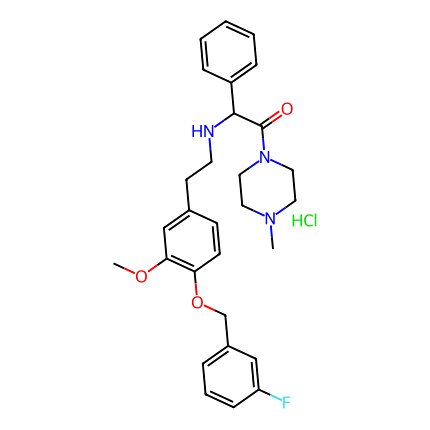 COc1cc(CCNC(C(=O)N2CCN(C)CC2)c2ccccc2)ccc1OCc1cccc(F)c1.Cl